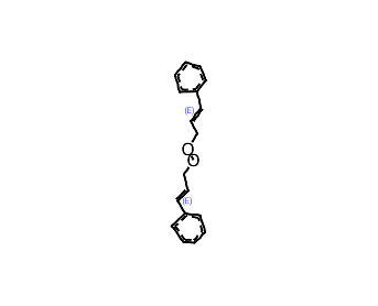 C(=C\c1ccccc1)/COOC/C=C/c1ccccc1